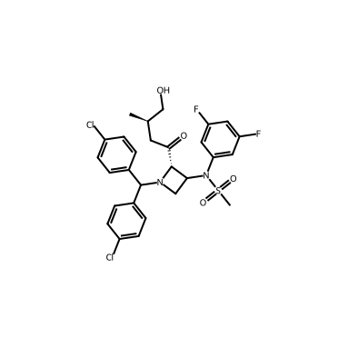 C[C@@H](CO)CC(=O)[C@@H]1C(N(c2cc(F)cc(F)c2)S(C)(=O)=O)CN1C(c1ccc(Cl)cc1)c1ccc(Cl)cc1